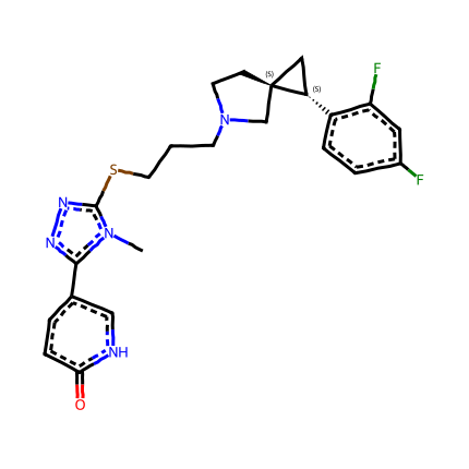 Cn1c(SCCCN2CC[C@]3(C[C@@H]3c3ccc(F)cc3F)C2)nnc1-c1ccc(=O)[nH]c1